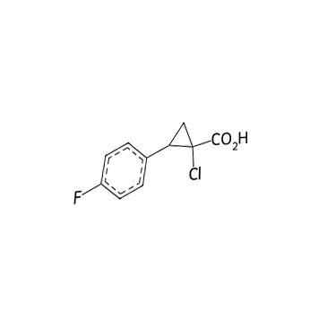 O=C(O)C1(Cl)CC1c1ccc(F)cc1